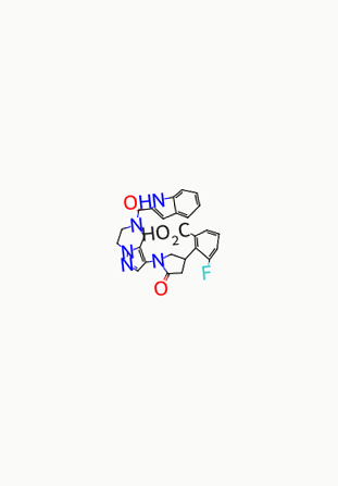 O=C(O)c1cccc(F)c1C1CC(=O)N(c2cnn3c2CN(C(=O)c2cc4ccccc4[nH]2)CC3)C1